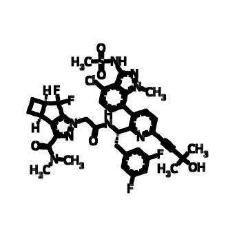 CN(C)C(=O)c1nn(CC(=O)N[C@@H](Cc2cc(F)cc(F)c2)c2nc(C#CC(C)(C)O)ccc2-c2ccc(Cl)c3c(NS(C)(=O)=O)nn(C)c23)c2c1[C@H]1CC[C@H]1C2(F)F